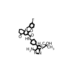 CC(C)(O)Cn1cc(-c2ccc(NC(=O)c3cc4c(n(Cc5cccc(F)c5)c3=O)CCCC4=O)cc2)c2c(N)ncnc21